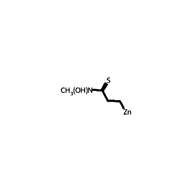 CN(O)C(=S)C[CH2][Zn]